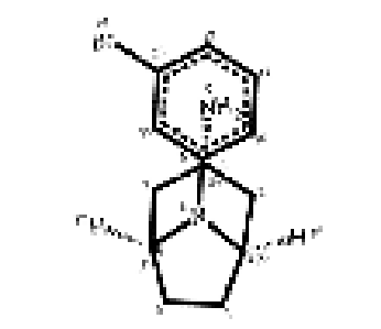 N[C@@H]1C[C@H]2CC[C@@H](C1)N2c1cccc(Br)c1